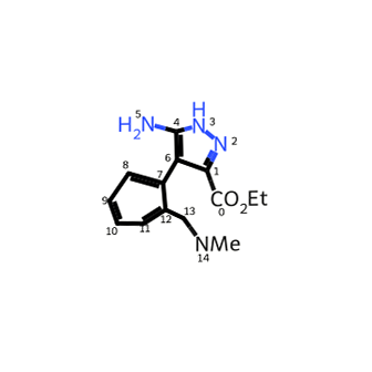 CCOC(=O)c1n[nH]c(N)c1-c1ccccc1CNC